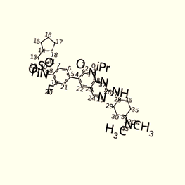 CC(C)n1c(=O)c(-c2ccc(NS(=O)(=O)CC3CCCC3)c(F)c2)cc2cnc(N[C@H]3CC[C@H](N(C)C)CC3)nc21